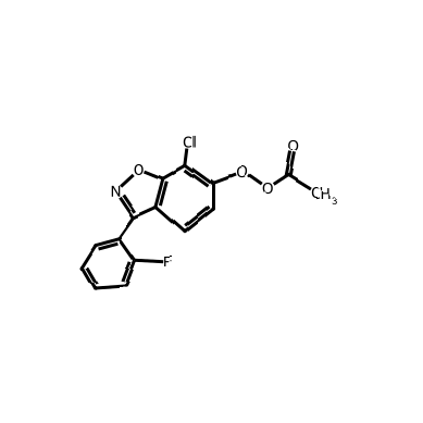 CC(=O)OOc1ccc2c(-c3ccccc3F)noc2c1Cl